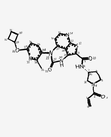 C=CC(=O)N1CC[C@@H](NC(=O)c2sc3nccc4c3c2NC(=O)N4c2ccc(OC3CCC3)nc2C)C1